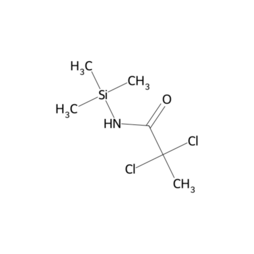 CC(Cl)(Cl)C(=O)N[Si](C)(C)C